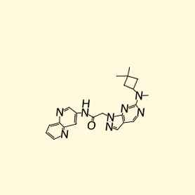 CN(c1ncc2cnn(CC(=O)Nc3cnc4cccnc4c3)c2n1)C1CC(C)(C)C1